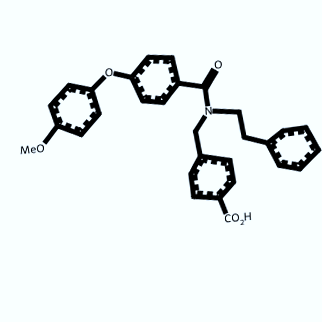 COc1ccc(Oc2ccc(C(=O)N(CCc3ccccc3)Cc3ccc(C(=O)O)cc3)cc2)cc1